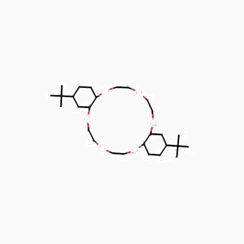 CC(C)(C)C1CCC2OCCOCCOC3CC(C(C)(C)C)CCC3OCCOCCOC2C1